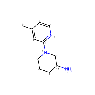 Cc1ccnc(N2CCCC(N)C2)c1